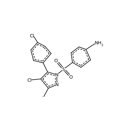 [CH2]c1nn(S(=O)(=O)c2ccc(N)cc2)c(-c2ccc(Cl)cc2)c1Cl